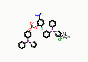 CN(C)c1ccc(F)c(OB([O-])[O-])c1.[Cl][Pd+2][Cl].[Fe+2].c1ccc(P(c2ccccc2)[c-]2cccc2)cc1.c1ccc(P(c2ccccc2)[c-]2cccc2)cc1